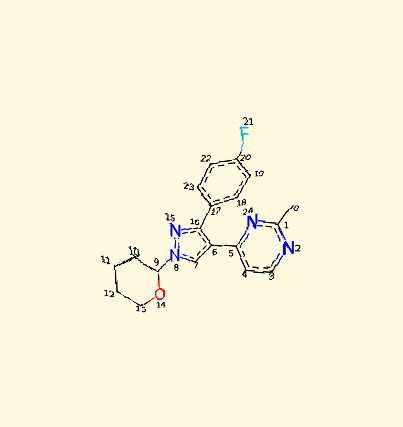 Cc1nccc(-c2cn(C3CCCCO3)nc2-c2ccc(F)cc2)n1